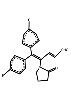 O=CC=CC(=C(c1ccc(F)cc1)c1ccc(F)cc1)N1CCCC1=O